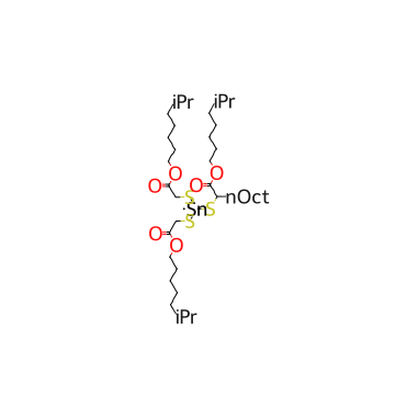 CCCCCCCCC([S][Sn]([S]CC(=O)OCCCCCC(C)C)[S]CC(=O)OCCCCCC(C)C)C(=O)OCCCCCC(C)C